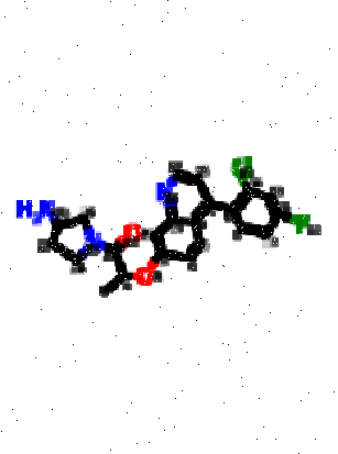 CC(Oc1ccc2c(-c3ccc(F)cc3Cl)ccnc2c1)C(=O)N1CCC(N)C1